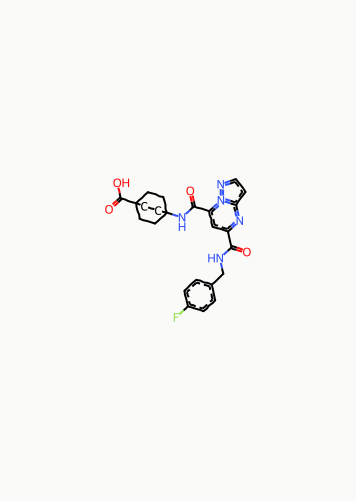 O=C(NCc1ccc(F)cc1)c1cc(C(=O)NC23CCC(C(=O)O)(CC2)CC3)n2nccc2n1